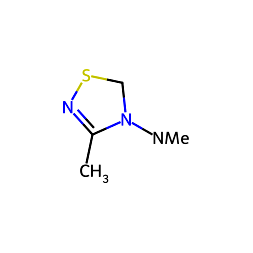 CNN1CSN=C1C